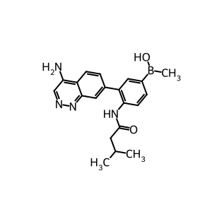 CB(O)c1ccc(NC(=O)CC(C)C)c(-c2ccc3c(N)cnnc3c2)c1